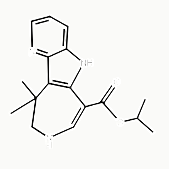 CC(C)OC(=O)C1=CNCC(C)(C)c2c1[nH]c1cccnc21